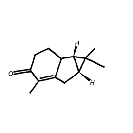 CC1=C2C[C@@H]3[C@H](C2CCC1=O)C3(C)C